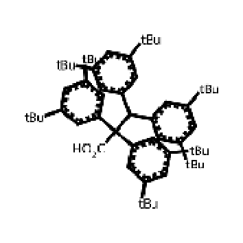 CC(C)(C)c1cc(C(c2cc(C(C)(C)C)cc(C(C)(C)C)c2)C(C(=O)O)(c2cc(C(C)(C)C)cc(C(C)(C)C)c2)c2cc(C(C)(C)C)cc(C(C)(C)C)c2)cc(C(C)(C)C)c1